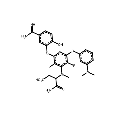 CN(C)c1cccc(Oc2nc(Oc3cc(C(=N)N)ccc3O)c(F)c(N(C)C(CC(=O)O)C(N)=O)c2F)c1